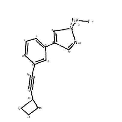 IPn1cc(-c2cccc(C#CC3CCC3)c2)cn1